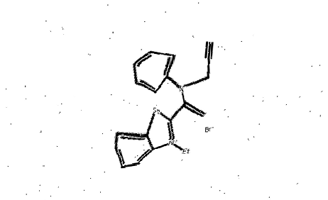 C#CCN(C(=C)c1[se]c2ccccc2[n+]1CC)c1ccccc1.[Br-]